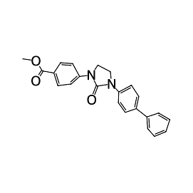 COC(=O)c1ccc(N2CCN(c3ccc(-c4ccccc4)cc3)C2=O)cc1